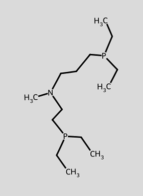 CCP(CC)CCCN(C)CCP(CC)CC